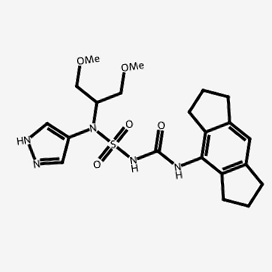 COCC(COC)N(c1cn[nH]c1)S(=O)(=O)NC(=O)Nc1c2c(cc3c1CCC3)CCC2